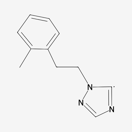 Cc1ccccc1CCn1[c]ncn1